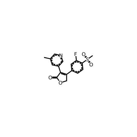 Cc1cncc(C2=C(c3ccc(S(C)(=O)=O)c(F)c3)COC2=O)c1